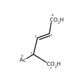 CC(=O)C(C=CC(=O)O)C(=O)O